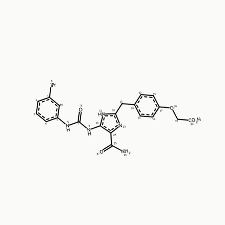 CC(C)c1cccc(NC(=O)Nc2[nH]c(Cc3ccc(OCC(=O)O)cc3)nc2C(N)=O)c1